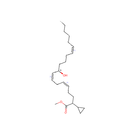 CCCCC/C=C\CCC[C@@H](O)/C=C\C/C=C\CCC(C(=O)OC)C1CC1